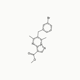 COC(=O)c1cnn2c(C)c(Cc3cccc(Br)c3)c(C)nc12